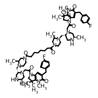 CC1CN(C(=O)CCCCCCC(=O)N2CCN(C[C@H]3CN[C@H](C)CN3CC(=O)N3CC(C)(C)c4c3cc(Cc3ccc(F)cc3)c(=O)n4C)C(C)C2)CCN1C[C@H]1CN[C@H](C)CN1CC(=O)N1CC(C)(C)c2c1cc(Cc1ccc(F)cc1)c(=O)n2C